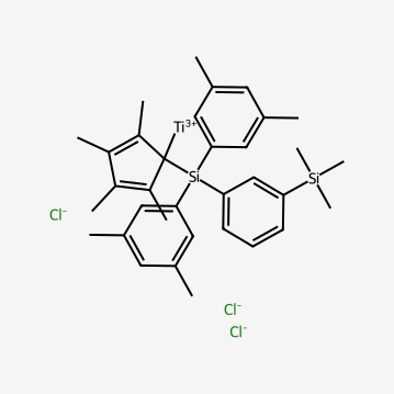 CC1=C(C)[C]([Ti+3])([Si](c2cc(C)cc(C)c2)(c2cc(C)cc(C)c2)c2cccc([Si](C)(C)C)c2)C(C)=C1C.[Cl-].[Cl-].[Cl-]